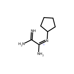 N=C(N)/C(N)=N\C1CCCC1